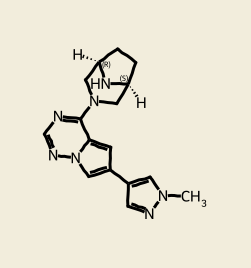 Cn1cc(-c2cc3c(N4C[C@H]5CC[C@@H](C4)N5)ncnn3c2)cn1